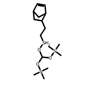 C[Si](C)(C)OC(O[SiH2]CCC1CC2C=CC1C2)O[Si](C)(C)C